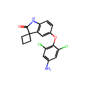 Nc1cc(Cl)c(Oc2ccc3c(c2)C2(CCC2)C(=O)N3)c(Cl)c1